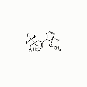 CC=C(CC(O)(C=O)C(F)(F)F)c1cccc(F)c1OC